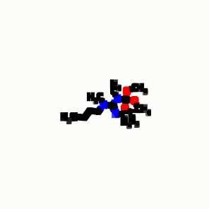 CN=C(N(C)CCC[SiH3])N(C)C(OC)(OC)OC